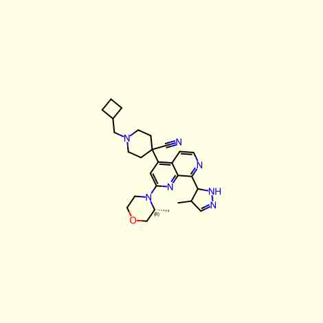 CC1C=NNC1c1nccc2c(C3(C#N)CCN(CC4CCC4)CC3)cc(N3CCOC[C@H]3C)nc12